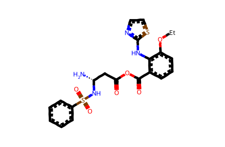 CCOc1cccc(C(=O)OC(=O)C[C@@H](N)NS(=O)(=O)c2ccccc2)c1Nc1nccs1